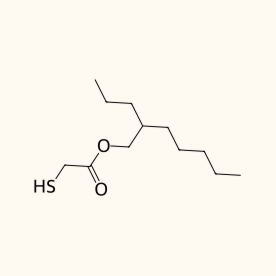 CCCCCC(CCC)COC(=O)CS